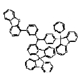 c1ccc(C2(c3ccc(N(c4cccc(-c5cccc6c5oc5ccccc56)c4)c4cccc5c4-c4ccccc4C54c5ccccc5-c5ccccc54)cc3)c3ccccc3-c3ccccc32)cc1